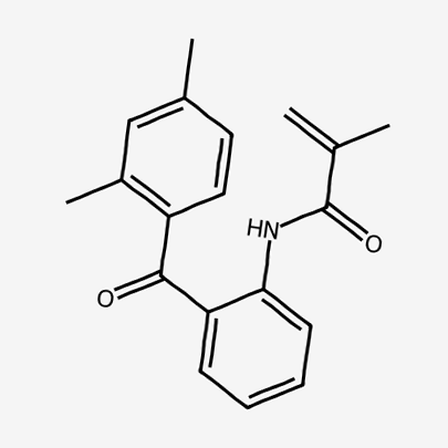 C=C(C)C(=O)Nc1ccccc1C(=O)c1ccc(C)cc1C